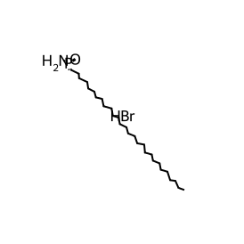 Br.CCCCCCCCCCCCCCCCCCCCCCCCCCCC[P](N)=O